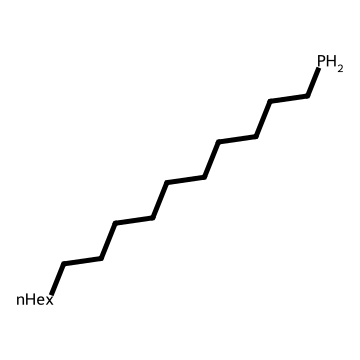 CCCCCCCCCCCCCCCCP